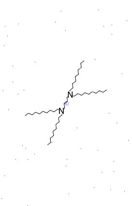 CCCCCCCCCCN(C/C=C/CN(CCCCCCCCCC)CCCCCCCCCC)CCCCCCCCCC